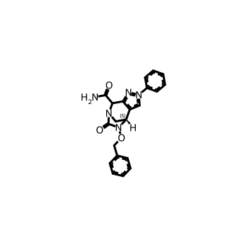 NC(=O)C1c2nn(-c3ccccc3)cc2[C@H]2CN1C(=O)N2OCc1ccccc1